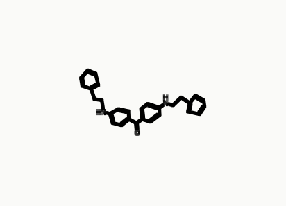 O=C(c1ccc(NCCc2ccccc2)cc1)c1ccc(NCCc2ccccc2)cc1